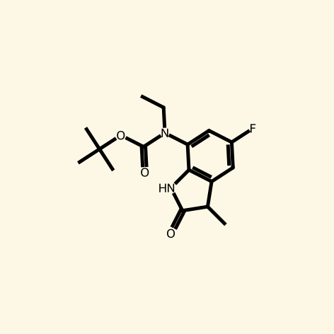 CCN(C(=O)OC(C)(C)C)c1cc(F)cc2c1NC(=O)C2C